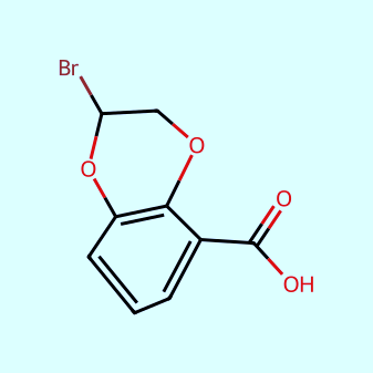 O=C(O)c1cccc2c1OCC(Br)O2